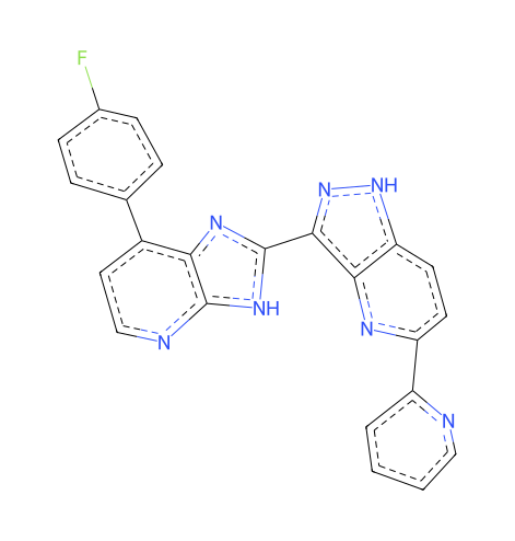 Fc1ccc(-c2ccnc3[nH]c(-c4n[nH]c5ccc(-c6ccccn6)nc45)nc23)cc1